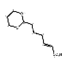 O=C(O)C=CCCCC1OCCCO1